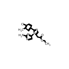 CCOC(=O)Cc1cnc(-c2ccc(Cl)c(C)c2)n1-c1ccnc(N)n1